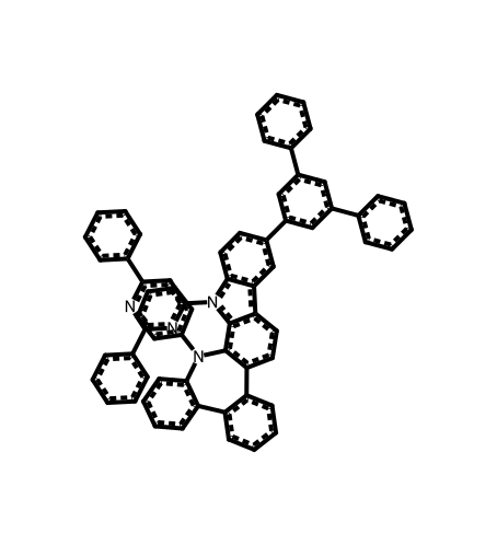 c1ccc(-c2cc(-c3ccccc3)cc(-c3ccc4c(c3)c3ccc5c(c3n4-c3cc(-c4ccccc4)nc(-c4ccccc4)n3)N(c3ccccc3)c3ccccc3-c3ccccc3-5)c2)cc1